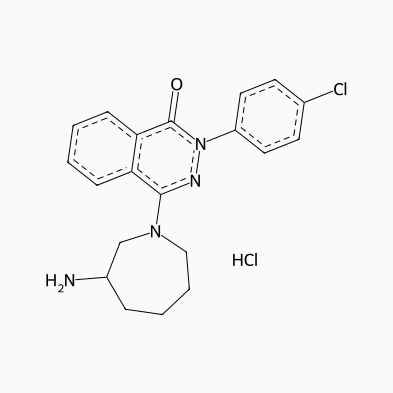 Cl.NC1CCCCN(c2nn(-c3ccc(Cl)cc3)c(=O)c3ccccc23)C1